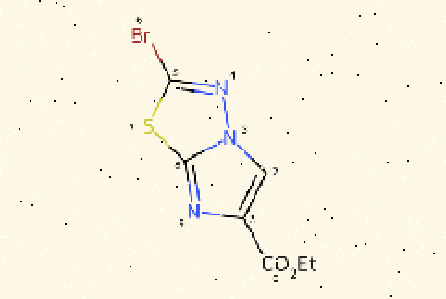 CCOC(=O)c1cn2nc(Br)sc2n1